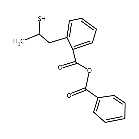 CC(S)Cc1ccccc1C(=O)OC(=O)c1ccccc1